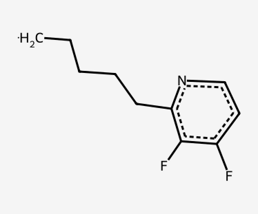 [CH2]CCCCc1nccc(F)c1F